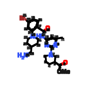 COC(=O)C1CCCN(c2nc(C)cc(NC(=O)c3ccc(Br)cc3N3CCC(CN)CC3)n2)C1